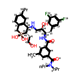 CCCN(CCC)C(=O)c1cc(C)cc(C(=O)N[C@@H](Cc2cc(F)cc(F)c2)[C@H](O)CN[C@@H]2c3cc(C(C)C)ccc3CS(O)(O)[C@H]2CCO)c1